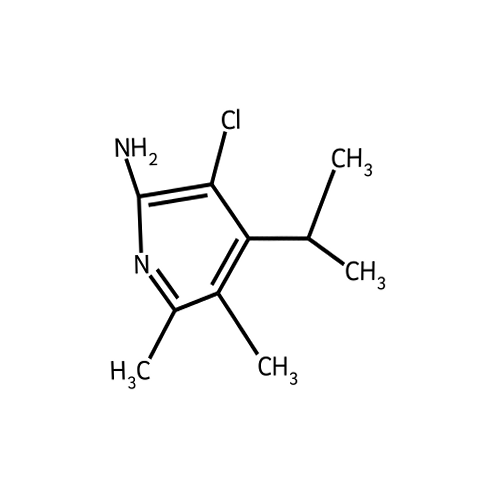 Cc1nc(N)c(Cl)c(C(C)C)c1C